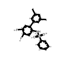 Cc1cc(C)cc(-c2cc(F)c(F)cc2NS(=O)(=O)c2ccccc2)c1